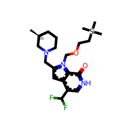 C[C@H]1CCCN(Cc2cc3c(C(F)F)c[nH]c(=O)c3n2COCC[Si](C)(C)C)C1